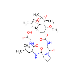 CO[C@@H]1[C@H](OC(=O)NCC(=O)N2CCC[C@H]2C(=O)N[C@@H](CC(C)C)C(=O)NCC(=O)O)CC[C@]2(CO2)[C@H]1[C@@]1(C)O[C@@]1(C)CC=C(C)C